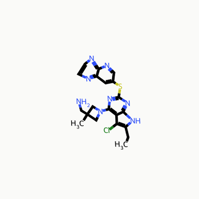 CCc1[nH]c2nc(Sc3cnc4nccnc4c3)nc(N3CC(C)(CN)C3)c2c1Cl